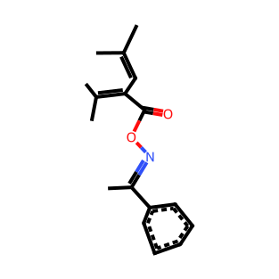 CC(C)=CC(C(=O)O/N=C(\C)c1ccccc1)=C(C)C